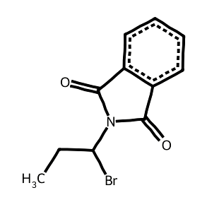 CCC(Br)N1C(=O)c2ccccc2C1=O